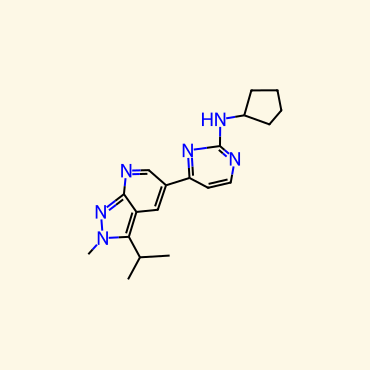 CC(C)c1c2cc(-c3ccnc(NC4CCCC4)n3)cnc2nn1C